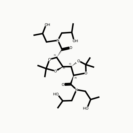 CC(O)CN(CC(C)O)C(=O)[C@H]1OC(C)(C)O[C@@H]1[C@@H]1OC(C)(C)O[C@H]1C(=O)N(CC(C)O)CC(C)O